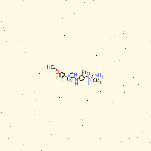 C#CCOc1ccc(-c2cnc3c(Nc4ccc(C(=O)N[C@@H](C)CN)c(CC)c4)nccn23)c(F)c1F